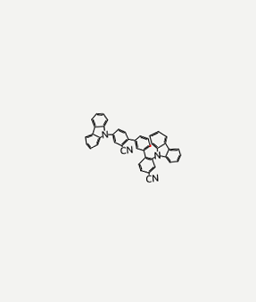 N#Cc1ccc(-c2cccc(-c3ccc(-n4c5ccccc5c5ccccc54)cc3C#N)c2)c(-n2c3ccccc3c3ccccc32)c1